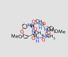 COc1ccc(C[C@H]2C(=O)N[C@@H](C)C(=O)N[C@H]3Cc4ccc(cc4)Oc4cc(ccc4OC)C[C@@H](C(=O)NCC(=O)N[C@@H](C)C(=O)N2C)N(C)C3=O)cc1